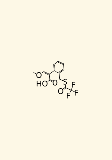 COC=C(C(=O)O)c1ccccc1CSC(=O)C(F)(F)F